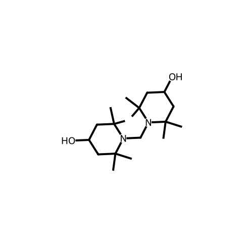 CC1(C)CC(O)CC(C)(C)N1CN1C(C)(C)CC(O)CC1(C)C